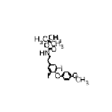 COc1ccc(Oc2c(I)cc(CCNC(=O)OC(C)(C)C)cc2I)cc1